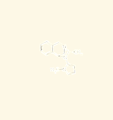 C[C@H]1N2Cc3ccccc3C(C2)N1c1cccn1C